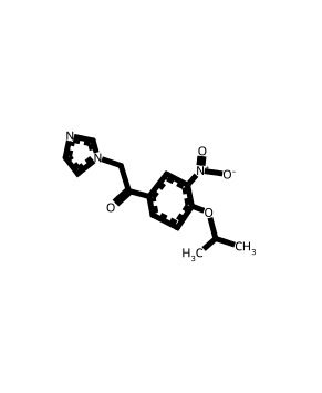 CC(C)Oc1ccc(C(=O)Cn2ccnc2)cc1[N+](=O)[O-]